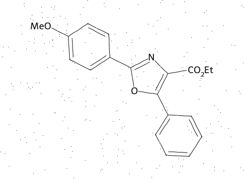 CCOC(=O)c1nc(-c2ccc(OC)cc2)oc1-c1ccccc1